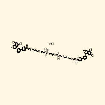 CN1Cc2c(Cl)cc(Cl)cc2[C@H](c2cccc(-c3ccc(NCCOCCOCCOCCNC(=O)NCCCCNC(=O)NCCOCCOCCOCCNc4ccc(-c5cccc([C@@H]6CN(C)Cc7c(Cl)cc(Cl)cc76)c5)cn4)nc3)c2)C1.Cl